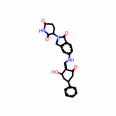 O=C1CCC(N2Cc3cc(N/C=C4\C(=O)CC(c5ccccc5)CC4O)ccc3C2=O)C(=O)N1